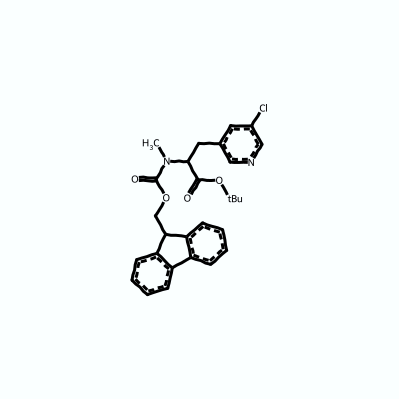 CN(C(=O)OCC1c2ccccc2-c2ccccc21)C(Cc1cncc(Cl)c1)C(=O)OC(C)(C)C